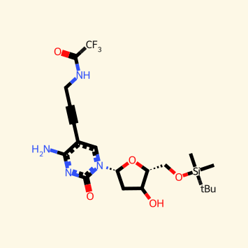 CC(C)(C)[Si](C)(C)OC[C@H]1O[C@@H](n2cc(C#CCNC(=O)C(F)(F)F)c(N)nc2=O)CC1O